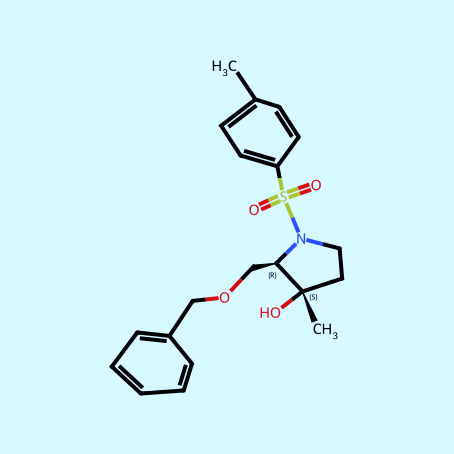 Cc1ccc(S(=O)(=O)N2CC[C@](C)(O)[C@H]2COCc2ccccc2)cc1